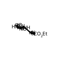 CCOC(=O)c1cnc(N2CCN(CCCCCCCCC(=O)Nc3cccc(Sc4cnc(N5C=CC(C)(NC(=O)OC(C)(C)C)C=C5)cn4)c3)CC2)nc1